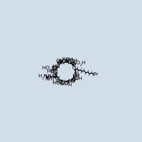 CC(C)CCCCCCCCCC1CC(=O)NC(C(C)O)C(=O)NC(C)C(=O)N2CCC(O)C2C(=O)NC(CCCN=C(N)N)C(=O)NC(C(O)C(=O)O)C(=O)NC(CO)C(=O)N2CCC(O)C2C(=O)NC(C(O)C(=O)O)C(=O)O1